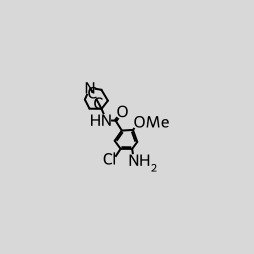 COc1cc(N)c(Cl)cc1C(=O)NC12CCN(CC1)CC2